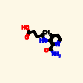 C=C(CCC(=O)O)Nc1cccnc1C(N)=O